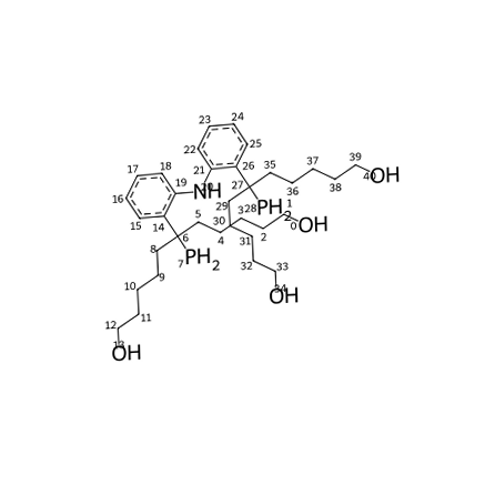 OCCCCCC(P)(CCCCCO)c1ccccc1Nc1ccccc1C(P)(CCCCCO)CCCCCO